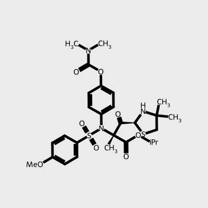 COc1ccc(S(=O)(=O)N(c2ccc(OC(=O)N(C)C)cc2)[C@@](C)(C(=O)OC(C)C)C(=O)[C@H]2NC(C)(C)CS2)cc1